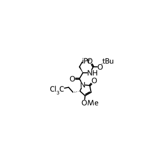 COC1=CC(=O)N(C(=O)[C@@H](CC(C)C)NC(=O)OC(C)(C)C)[C@H]1CCC(Cl)(Cl)Cl